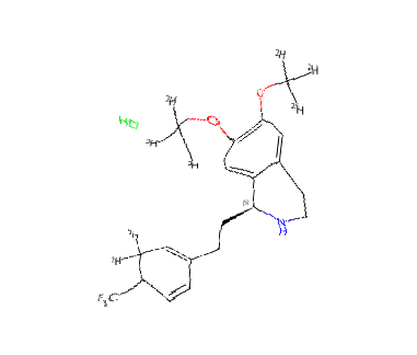 Cl.[2H]C([2H])([2H])Oc1cc2c(cc1OC([2H])([2H])[2H])[C@H](CCC1=CC([2H])([2H])C(C(F)(F)F)C=C1)NCC2